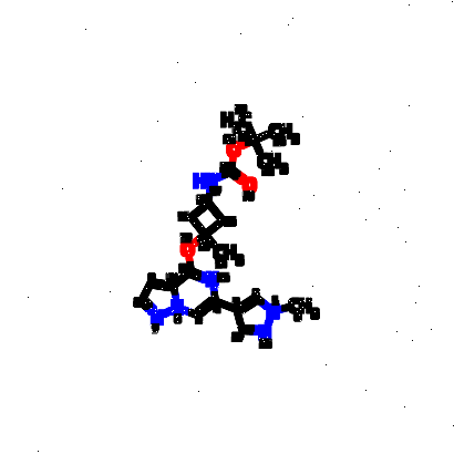 Cn1cc(-c2cn3nccc3c(OC3(C)CC(NC(=O)OC(C)(C)C)C3)n2)cn1